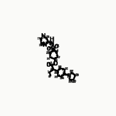 CCC(C(=O)Oc1ccc(S(=O)(=O)Nc2cnccn2)cc1)c1ccc(N2CCCC2)cc1